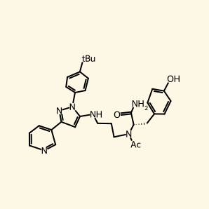 CC(=O)N(CCCNc1cc(-c2cccnc2)nn1-c1ccc(C(C)(C)C)cc1)[C@@H](Cc1ccc(O)cc1)C(N)=O